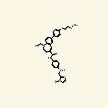 CCCCOCCOc1ccc(-c2ccc3c(c2)C=C(C(=O)Nc2ccc([S+]([O-])Cc4nccn4CC)cc2)CCN3CC(C)C)cc1